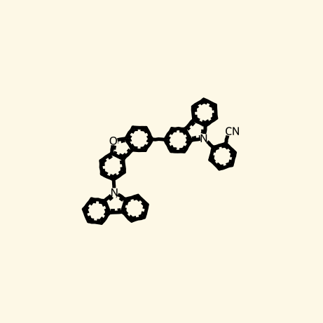 N#Cc1ccccc1-n1c2ccccc2c2cc(-c3ccc4oc5ccc(-n6c7ccccc7c7ccccc76)cc5c4c3)ccc21